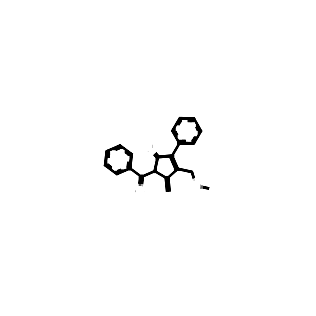 C=C1C(COC)=C(c2ccccc2)C(=O)C1C(=O)c1ccccc1